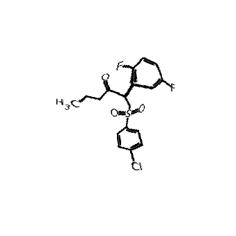 CCCC(=O)C(c1cc(F)ccc1F)S(=O)(=O)c1ccc(Cl)cc1